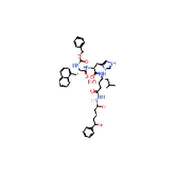 CC(C)C[C@H](NC(=O)C(Cc1c[nH]cn1)NC(=O)[C@H](Cc1cccc2ccccc12)NC(=O)OCc1ccccc1)[C@@H](O)CC(=O)NNC(=O)CCCC(=O)c1ccccc1